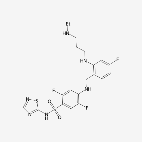 CCNCCCNc1cc(F)ccc1CNc1cc(F)c(S(=O)(=O)Nc2ncns2)cc1F